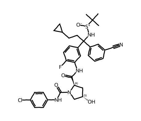 CC(C)(C)[S+]([O-])NC(CCC1CC1)(c1cccc(C#N)c1)c1ccc(F)c(NC(=O)[C@H]2C[C@H](O)CN2C(=O)Nc2ccc(Cl)cc2)c1